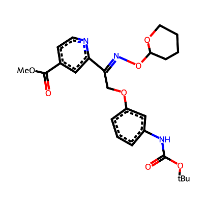 COC(=O)c1ccnc(/C(COc2cccc(NC(=O)OC(C)(C)C)c2)=N/OC2CCCCO2)c1